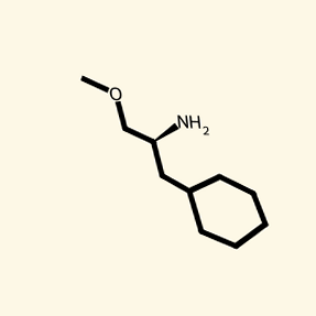 COC[C@@H](N)CC1CCCCC1